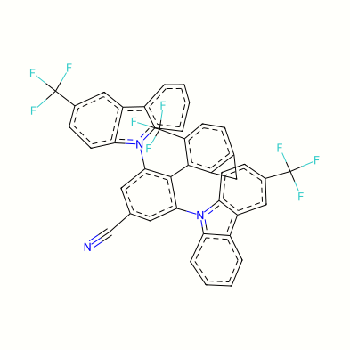 N#Cc1cc(-n2c3ccccc3c3cc(C(F)(F)F)ccc32)c(-c2c(C(F)(F)F)ccc3c2C3)c(-n2c3ccccc3c3cc(C(F)(F)F)ccc32)c1